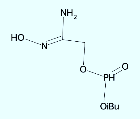 CC(C)CO[PH](=O)OCC(N)=NO